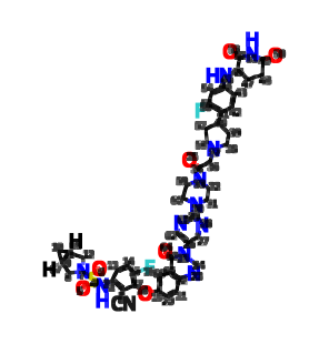 N#Cc1c(NS(=O)(=O)N2C[C@H]3C[C@H]3C2)ccc(F)c1Oc1ccc2ncn(-c3cnc(N4CCN(C(=O)CN5CCC(c6ccc(N[C@H]7CCC(=O)NC7=O)cc6F)CC5)CC4)nc3)c(=O)c2c1